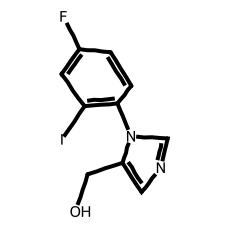 OCc1cncn1-c1ccc(F)cc1I